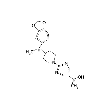 C[C@H](O)c1cnc(N2CCN([C@H](C)c3ccc4c(c3)OCO4)CC2)nc1